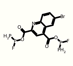 O=C(OP(F)P)c1cc(C(=O)OP(F)P)c2cc(Br)ccc2n1